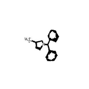 CC1CCN(C(c2ccccc2)c2ccccc2)C1